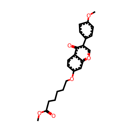 COC(=O)CCCCCOc1ccc2c(=O)c(-c3ccc(OC)cc3)coc2c1